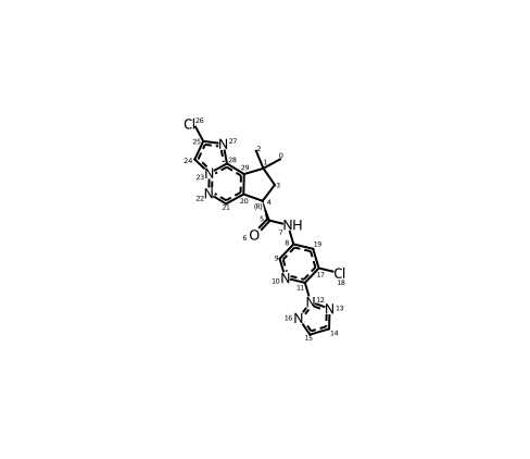 CC1(C)C[C@@H](C(=O)Nc2cnc(-n3nccn3)c(Cl)c2)c2cnn3cc(Cl)nc3c21